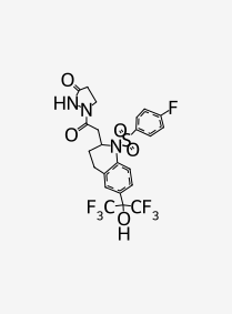 O=C1CCN(C(=O)CC2CCc3cc(C(O)(C(F)(F)F)C(F)(F)F)ccc3N2S(=O)(=O)c2ccc(F)cc2)N1